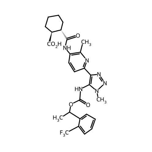 Cc1nc(-c2nnn(C)c2NC(=O)OC(C)c2ccccc2C(F)(F)F)ccc1NC(=O)[C@H]1CCCC[C@@H]1C(=O)O